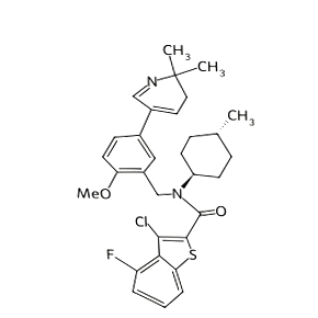 COc1ccc(C2=CCC(C)(C)N=C2)cc1CN(C(=O)c1sc2cccc(F)c2c1Cl)[C@H]1CC[C@H](C)CC1